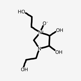 [O-][N+]1(CCO)CN(CCO)C(O)C1O